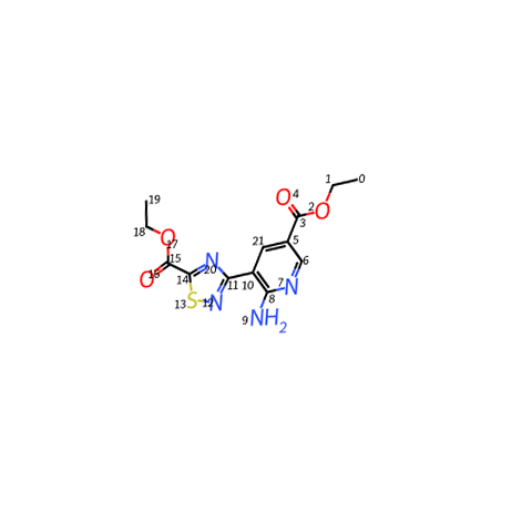 CCOC(=O)c1cnc(N)c(-c2nsc(C(=O)OCC)n2)c1